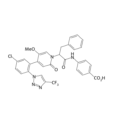 COc1cn(C(Cc2ccccc2)C(=O)Nc2ccc(C(=O)O)cc2)c(=O)cc1-c1cc(Cl)ccc1-n1cc(C(F)(F)F)nn1